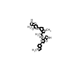 C/C(=C\Oc1nc(-c2ccc3c(ccn3C)c2)ccc1[C@@]1(C)CCNC1=O)c1cn(C)c2ccc(-c3ccc([C@@]4(C)CCNC4=O)c(=O)[nH]3)cc12